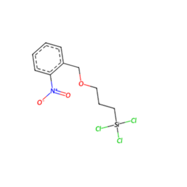 O=[N+]([O-])c1ccccc1COCCC[Si](Cl)(Cl)Cl